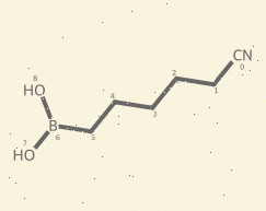 N#CCCCCCB(O)O